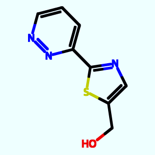 OCc1cnc(-c2cccnn2)s1